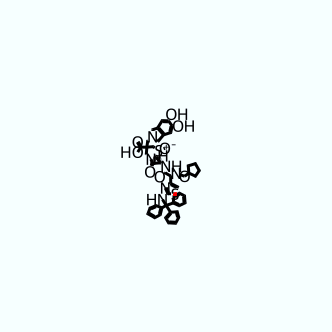 O=C(NC1C(=O)N2CC(CN3Cc4cc(O)c(O)cc4C3)(C(=O)O)C[S+]([O-])[C@H]12)C(=NOC1CCCC1)c1csc(NC(c2ccccc2)(c2ccccc2)c2ccccc2)n1